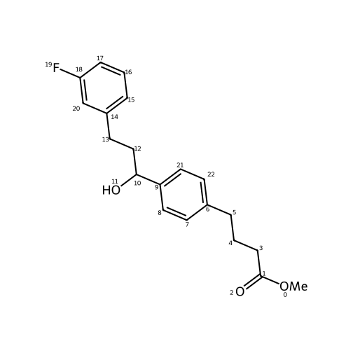 COC(=O)CCCc1ccc(C(O)CCc2cccc(F)c2)cc1